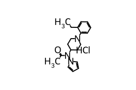 CCc1ccccc1N1CCC(N(C(C)=O)n2cccc2)CC1.Cl